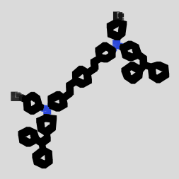 CCc1ccc(N(c2ccc(C=C(c3ccccc3)c3ccccc3)cc2)c2ccc(/C=C/c3ccc(/C=C/c4ccc(N(c5ccc(C=C(c6ccccc6)c6ccccc6)cc5)c5ccc(CC)cc5)cc4)cc3)cc2)cc1